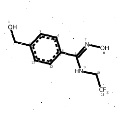 OCc1ccc(/C(=N/O)NCC(F)(F)F)cc1